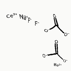 O=C([O-])[O-].O=C([O-])[O-].[Ba+2].[Ce+3].[F-].[F-].[Na+]